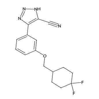 N#Cc1[nH]nnc1-c1cccc(OCC2CCC(F)(F)CC2)c1